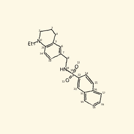 CCN1CCCc2cc(CNS(=O)(=O)c3ccc4ccccc4c3)ccc21